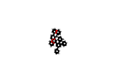 c1ccc(-c2cc(-c3ccccc3)c(-c3cccc(N(c4ccccc4)c4cc(-c5ccccc5)ccc4-c4ccccc4)c3)c(-c3ccccc3)c2)cc1